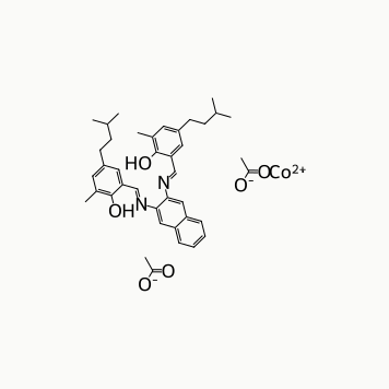 CC(=O)[O-].CC(=O)[O-].Cc1cc(CCC(C)C)cc(C=Nc2cc3ccccc3cc2N=Cc2cc(CCC(C)C)cc(C)c2O)c1O.[Co+2]